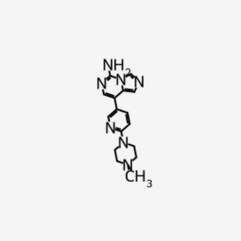 CN1CCN(c2ccc(-c3cnc(N)n4cncc34)cn2)CC1